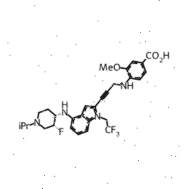 COc1cc(C(=O)O)ccc1NCC#Cc1cc2c(N[C@H]3CCN(C(C)C)C[C@H]3F)cccc2n1CC(F)(F)F